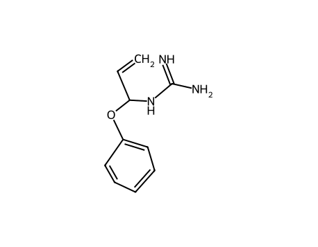 C=CC(NC(=N)N)Oc1ccccc1